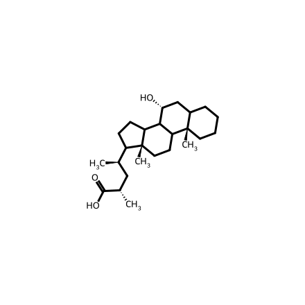 C[C@H](C[C@H](C)C(=O)O)C1CCC2C3C(CC[C@@]21C)[C@@]1(C)CCCCC1C[C@H]3O